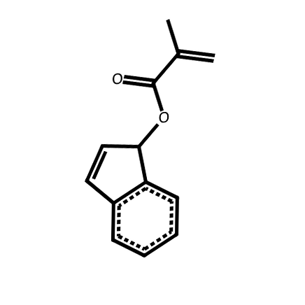 C=C(C)C(=O)OC1C=Cc2ccccc21